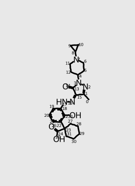 CC1=NN(C2CCN(C3CC3)CC2)C(=O)C1=NNc1cccc(C2(C(=O)O)CCCCC2)c1O